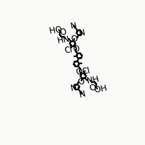 Cc1c(COc2cc(OCc3cncc(C#N)c3)c(CNC/C=C\C(=O)O)cc2Cl)cccc1-c1cccc(COc2cc(OCc3cncc(C#N)c3)c(CNC/C=C\C(=O)O)cc2Cl)c1C